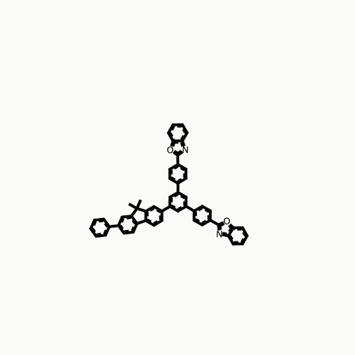 CC1(C)c2cc(-c3ccccc3)ccc2-c2ccc(-c3cc(-c4ccc(-c5nc6ccccc6o5)cc4)cc(-c4ccc(-c5nc6ccccc6o5)cc4)c3)cc21